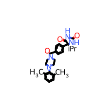 Cc1cccc(C)c1N1CCN(C(=O)c2ccc([C@@]3(C(C)C)NC(=O)NC3=O)cc2)CC1